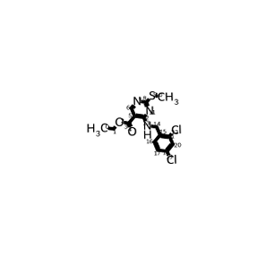 CCOC(=O)c1cnc(SC)nc1NCc1ccc(Cl)cc1Cl